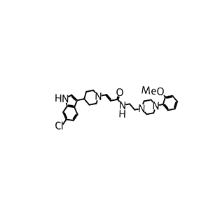 COc1ccccc1N1CCN(CCNC(=O)C=CN2CCC(c3c[nH]c4cc(Cl)ccc34)CC2)CC1